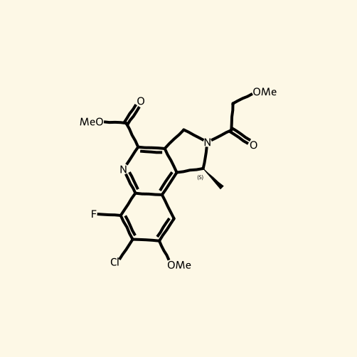 COCC(=O)N1Cc2c(C(=O)OC)nc3c(F)c(Cl)c(OC)cc3c2[C@@H]1C